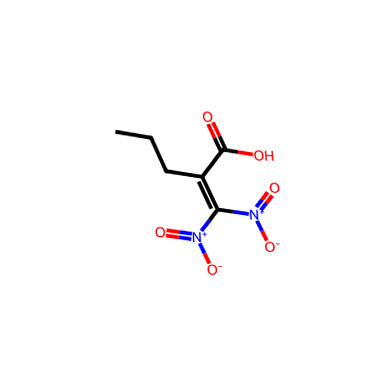 CCCC(C(=O)O)=C([N+](=O)[O-])[N+](=O)[O-]